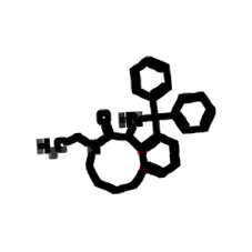 CCN1CCCCCCC(NC(c2ccccc2)(c2ccccc2)c2ccccc2)C1=O